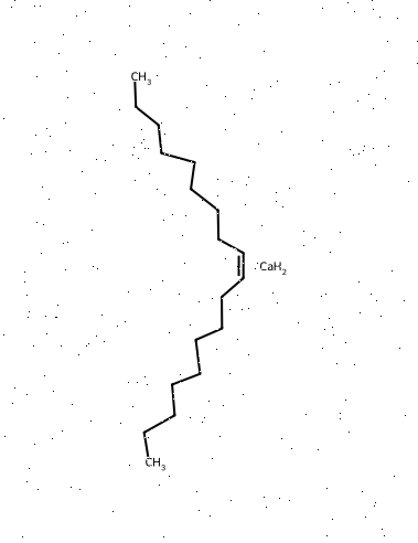 CCCCCCCC/C=C\CCCCCCCC.[CaH2]